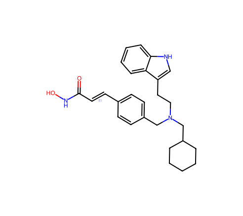 O=C(/C=C/c1ccc(CN(CCc2c[nH]c3ccccc23)CC2CCCCC2)cc1)NO